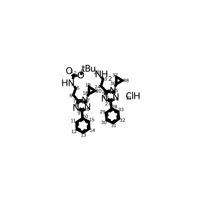 CC(C)(C)OC(=O)NCCc1nc(-c2ccccc2)nn1C1CC1.Cl.NCCc1nc(-c2ccccc2)nn1C1CC1